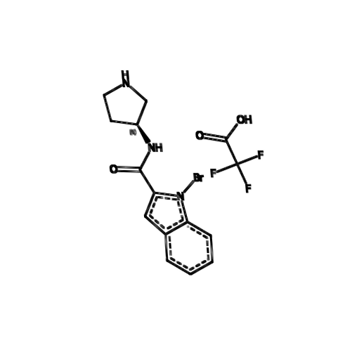 O=C(N[C@H]1CCNC1)c1cc2ccccc2n1Br.O=C(O)C(F)(F)F